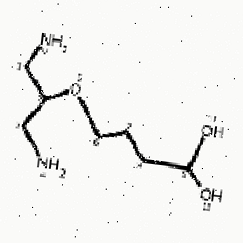 NCC(CN)OCCCC(O)O